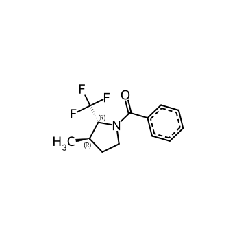 C[C@@H]1CCN(C(=O)c2ccccc2)[C@H]1C(F)(F)F